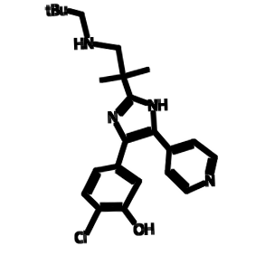 CC(C)(C)CNCC(C)(C)c1nc(-c2ccc(Cl)c(O)c2)c(-c2ccncc2)[nH]1